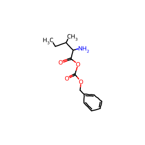 CCC(C)C(N)C(=O)OC(=O)OCc1ccccc1